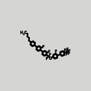 CCCCCc1ccc(-c2ccc(-c3ccc(C(F)(F)Oc4ccc(-c5ccc(S(F)(F)(F)(F)F)cc5)c(F)c4)c(F)c3)c(F)c2)cc1